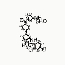 CC(Nc1cc(N2CCC(C(=O)N3CCC(NC=O)C3)CC2)ccc1Cl)c1ccc(Cl)cc1Cl